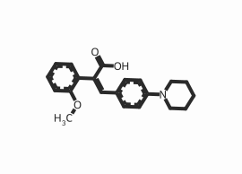 COc1ccccc1C(=Cc1ccc(N2CCCCC2)cc1)C(=O)O